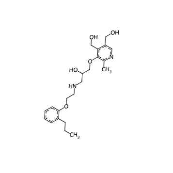 CCCc1ccccc1OCCNCC(O)COc1c(C)ncc(CO)c1CO